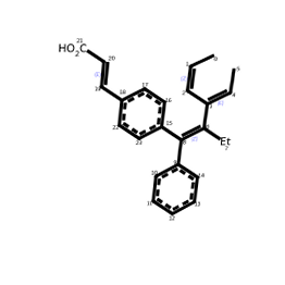 C\C=C/C(=C\C)C(/CC)=C(/c1ccccc1)c1ccc(/C=C/C(=O)O)cc1